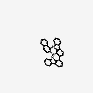 c1ccc2c3c(ccc2c1)B1c2c(ccc4c5ccccc5n-3c24)-c2cccc3c4ccccc4n1c23